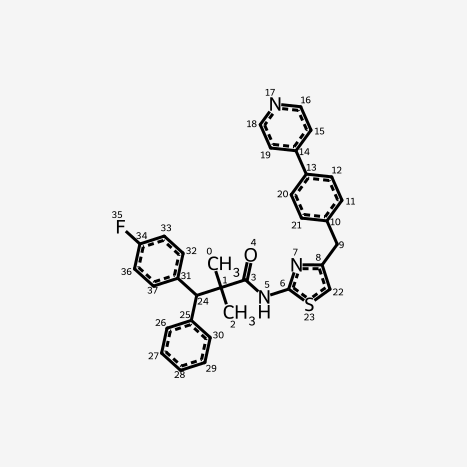 CC(C)(C(=O)Nc1nc(Cc2ccc(-c3ccncc3)cc2)cs1)C(c1ccccc1)c1ccc(F)cc1